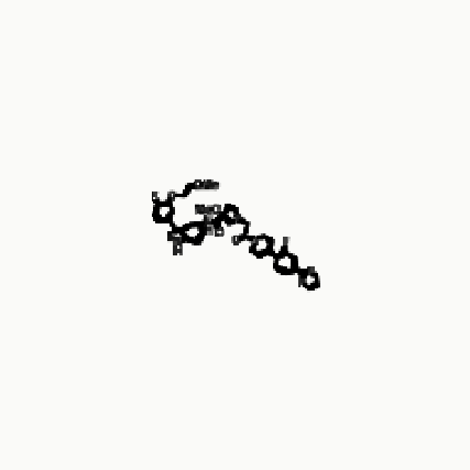 COCCOc1cc(-c2n[nH]c3ccc(NC(=O)[C@]4(OC)CCN(CC(=O)N5CC=C(c6ccc(-c7ncccn7)cc6F)CC5)C4)cc23)ccc1F